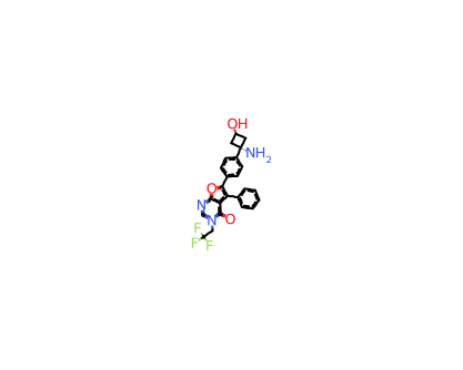 N[C@]1(c2ccc(-c3oc4ncn(CC(F)(F)F)c(=O)c4c3-c3ccccc3)cc2)C[C@@H](O)C1